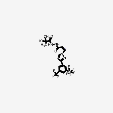 CC(C)(O)C(=O)NNC(=O)/C=C\n1cnc(-c2cc(C(F)(F)F)cc(S(F)(F)(F)(F)F)c2)n1